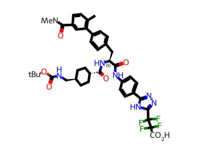 CNC(=O)c1ccc(C)c(-c2ccc(C[C@H](NC(=O)[C@H]3CC[C@H](CNC(=O)OC(C)(C)C)CC3)C(=O)Nc3ccc(-c4nnc(C(F)(F)C(F)(F)C(=O)O)[nH]4)cc3)cc2)c1